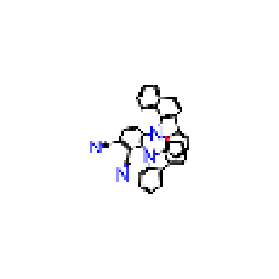 N#Cc1ccc(-n2c3ccccc3c3ccc4ccccc4c32)c(-n2c3ccccc3c3ccccc32)c1C#N